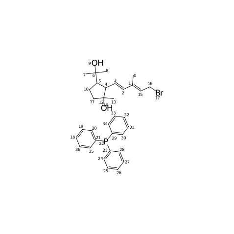 CC(/C=C/C1C(C(C)(C)O)CCC1(C)O)=C\CBr.c1ccc(P(c2ccccc2)c2ccccc2)cc1